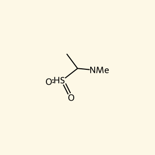 CNC(C)[SH](=O)=O